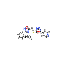 O=[N+]([O-])c1ccccc1-c1noc(CSc2nnc(-c3ccncc3)o2)n1